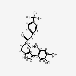 O=C(Cc1ccc(C(F)(F)F)cc1)N1CCc2[nH]nc(-c3cc(Cl)c(O)cc3O)c2C1